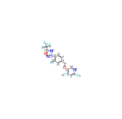 Fc1cc(F)c(OCc2ccc(-c3noc(C(F)(F)F)n3)c(F)c2)cn1